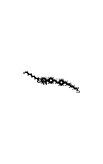 CCCCCCCCOc1ccc(-c2ccc(CCc3ccc(CCCCCCCC)cc3)cc2)nc1